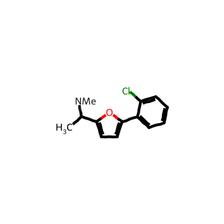 CNC(C)c1ccc(-c2ccccc2Cl)o1